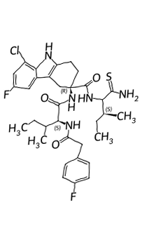 CCC(C)[C@H](NC(=O)Cc1ccc(F)cc1)C(=O)N[C@]1(C(=O)NC(C(N)=S)[C@@H](C)CC)CCc2[nH]c3c(Cl)cc(F)cc3c2C1